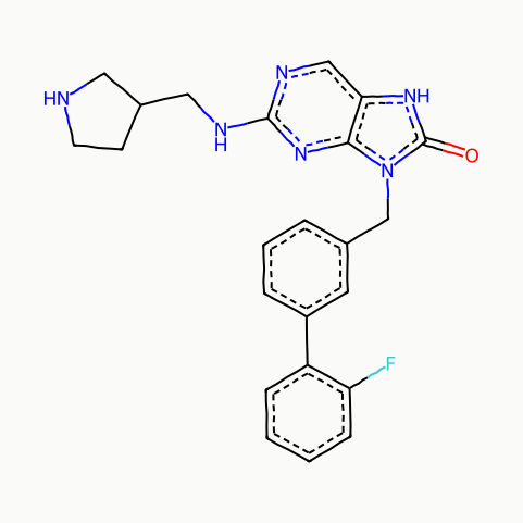 O=c1[nH]c2cnc(NCC3CCNC3)nc2n1Cc1cccc(-c2ccccc2F)c1